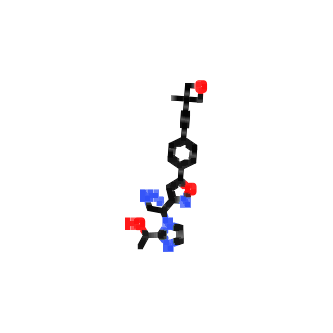 CC(O)c1nccn1C(CN)c1cc(-c2ccc(C#CC3(C)COC3)cc2)on1